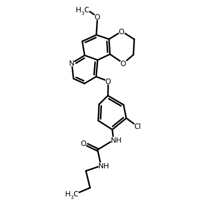 CCCNC(=O)Nc1ccc(Oc2ccnc3cc(OC)c4c(c23)OCCO4)cc1Cl